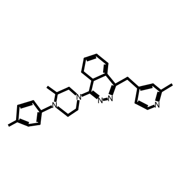 Cc1ccc(N2CCN(C3=NN=C(Cc4ccnc(C)c4)C4=CC=CCC43)CC2C)cc1